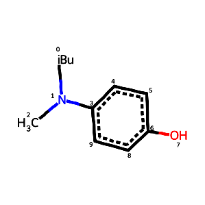 CCC(C)N(C)c1ccc(O)cc1